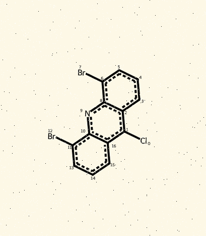 Clc1c2cccc(Br)c2nc2c(Br)cccc12